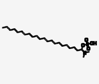 CCCCCCCCCCCCCCCCCCCCCC(OS(=O)(=O)O)N(C)C